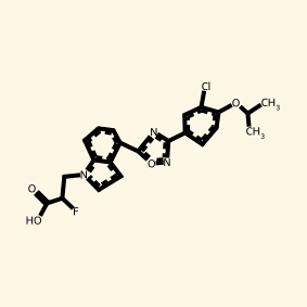 CC(C)Oc1ccc(-c2noc(-c3cccc4c3ccn4CC(F)C(=O)O)n2)cc1Cl